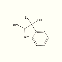 [CH2]CC(O)(c1ccccc1)C(CCC)CCC